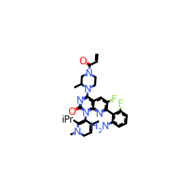 C=CC(=O)N1CCN(c2nc(=O)n(C3=C(C(C)C)N(C)CC=C3C)c3nc(-c4c(N)cccc4F)c(F)cc23)C(C)C1